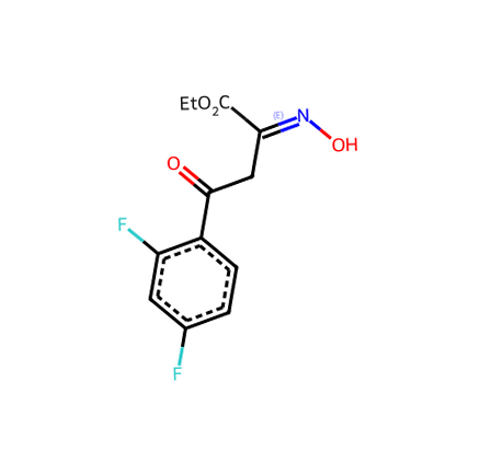 CCOC(=O)/C(CC(=O)c1ccc(F)cc1F)=N/O